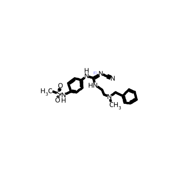 CN(CCN/C(=N\C#N)Nc1ccc(NS(C)(=O)=O)cc1)Cc1ccccc1